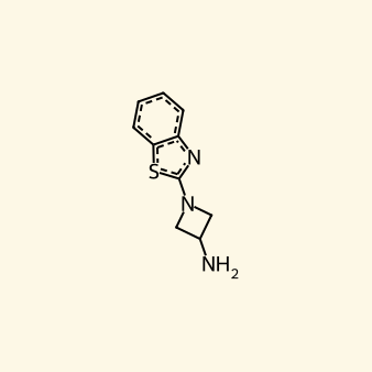 NC1CN(c2nc3ccccc3s2)C1